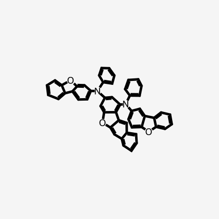 c1ccc(N(c2ccc3c(c2)oc2ccccc23)c2cc(N(c3ccccc3)c3ccc4oc5ccccc5c4c3)c3c(c2)oc2cc4ccccc4cc23)cc1